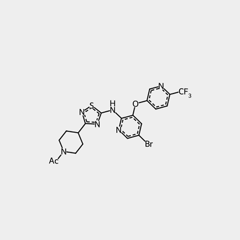 CC(=O)N1CCC(c2nsc(Nc3ncc(Br)cc3Oc3ccc(C(F)(F)F)nc3)n2)CC1